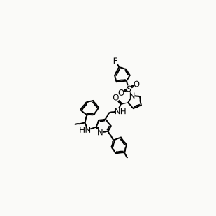 Cc1ccc(-c2cc(CNC(=O)[C@@H]3C=CCN3S(=O)(=O)c3ccc(F)cc3)cc(NC(C)c3ccccc3)n2)cc1